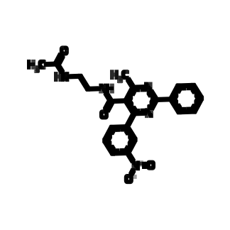 CC(=O)NCCNC(=O)c1c(C)nc(-c2ccccc2)nc1-c1cccc([N+](=O)[O-])c1